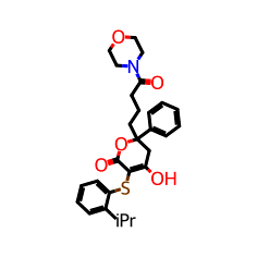 CC(C)c1ccccc1SC1=C(O)CC(CCCC(=O)N2CCOCC2)(c2ccccc2)OC1=O